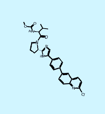 COC(=O)N[C@H](C(=O)N1CCC[C@H]1c1ncc(-c2ccc(-c3ccc4nc(Cl)ccc4c3)cc2)[nH]1)C(C)C